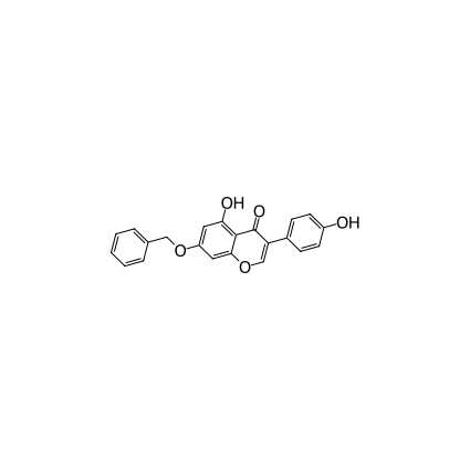 O=c1c(-c2ccc(O)cc2)coc2cc(OCc3ccccc3)cc(O)c12